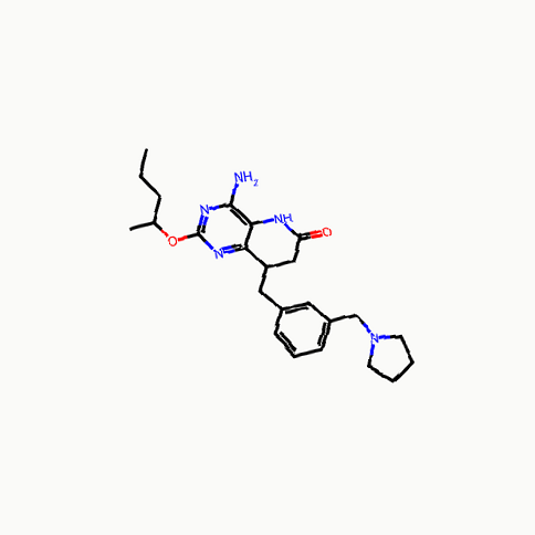 CCCC(C)Oc1nc(N)c2c(n1)C(Cc1cccc(CN3CCCC3)c1)CC(=O)N2